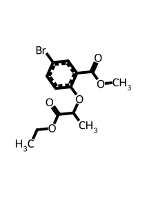 CCOC(=O)C(C)Oc1ccc(Br)cc1C(=O)OC